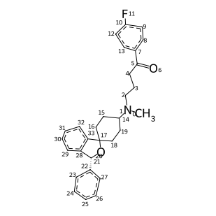 CN(CCCC(=O)c1ccc(F)cc1)C1CCC2(CC1)O[C@H](c1ccccc1)c1ccccc12